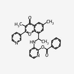 Cc1cc(C(C)Nc2cccnc2OC(=O)c2ccccc2)c2oc(-c3cccnc3)c(C)c(=O)c2c1